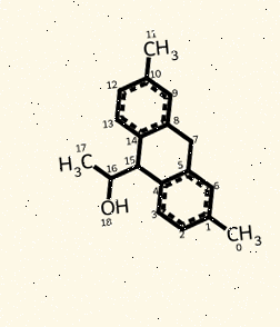 Cc1ccc2c(c1)Cc1cc(C)ccc1C2C(C)O